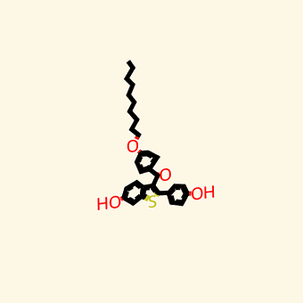 CCCCCCCCCCOc1ccc(C(=O)c2c(-c3ccc(O)cc3)sc3cc(O)ccc23)cc1